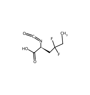 CCC(F)(F)C[C@H](N=C=O)C(=O)O